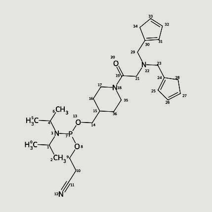 CC(C)N(C(C)C)P(OCCC#N)OCC1CCN(C(=O)CN(CC2=CC=CC2)CC2=CC=CC2)CC1